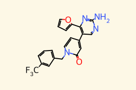 Nc1ncc(-c2ccn(Cc3cccc(C(F)(F)F)c3)c(=O)c2)c(-c2ccco2)n1